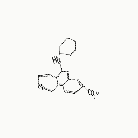 O=C(O)c1ccc2c(c1)cc(NC1CCCCC1)c1ccncc12